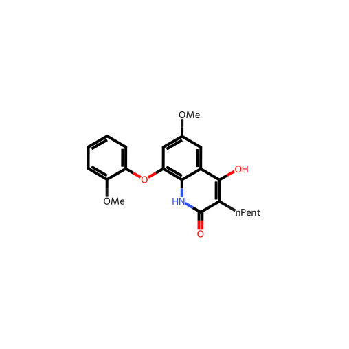 CCCCCc1c(O)c2cc(OC)cc(Oc3ccccc3OC)c2[nH]c1=O